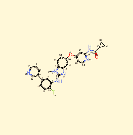 Cn1c(Nc2cc(-c3cccnc3)ccc2F)nc2cc(Oc3ccnc(NC(=O)C4CC4)c3)ccc21